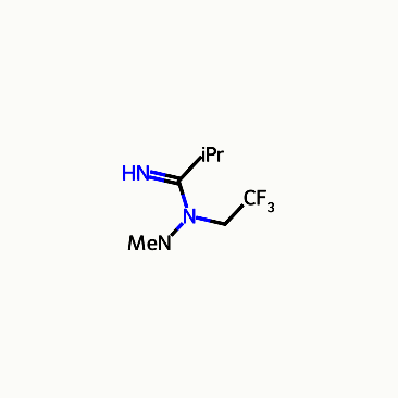 CNN(CC(F)(F)F)C(=N)C(C)C